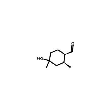 C[C@H]1CC(C)(O)CC[C@H]1C=O